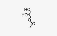 CC1OC1OCC(O)CO